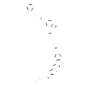 CCN(CC)CCNC(=O)c1c(C)[nH]c(/C=C2\C(=O)Nc3ccc(NC(=O)CCCCC(=O)n4ncc5ccc(NC(=O)NCCc6ccccc6)cc54)cc32)c1C